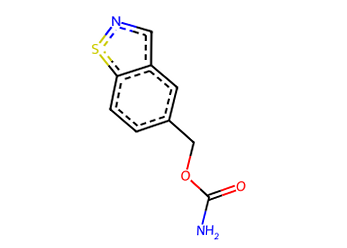 NC(=O)OCc1ccc2sncc2c1